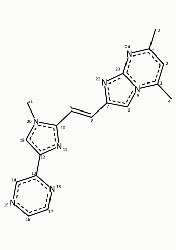 Cc1cc(C)n2cc(C=Cc3nc(-c4cnccn4)cn3C)nc2n1